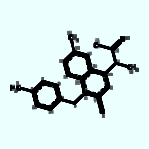 Cc1ccc(Cn2c(=O)cc(C(C)C(=O)Cl)c3cc(C)ccc32)cc1